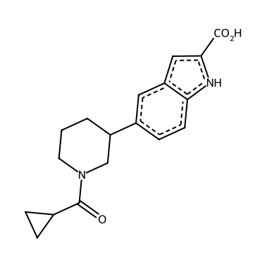 O=C(O)c1cc2cc(C3CCCN(C(=O)C4CC4)C3)ccc2[nH]1